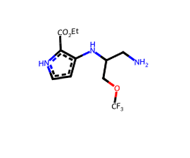 CCOC(=O)c1[nH]ccc1NC(CN)COC(F)(F)F